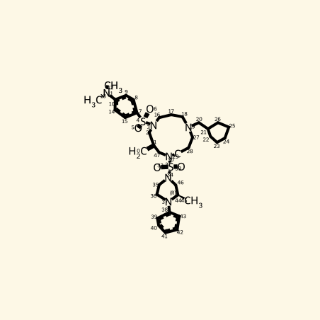 C=C1CN(S(=O)(=O)c2ccc(N(C)C)cc2)CCCN(CC2CCCCC2)CCCN(S(=O)(=O)N2CCN(c3ccccc3)[C@H](C)C2)C1